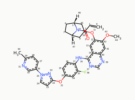 C=CC(=O)N1[C@@H]2CC[C@H]1CC(Oc1cc3c(Nc4ccc(Oc5ccn(-c6ccc(C)nc6)n5)cc4F)ncnc3cc1OC)C2